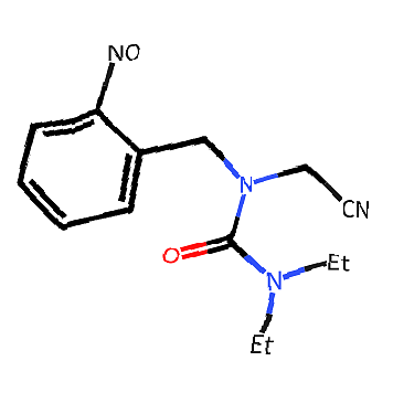 CCN(CC)C(=O)N(CC#N)Cc1ccccc1N=O